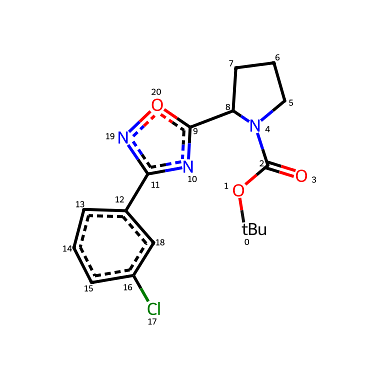 CC(C)(C)OC(=O)N1CCCC1c1nc(-c2cccc(Cl)c2)no1